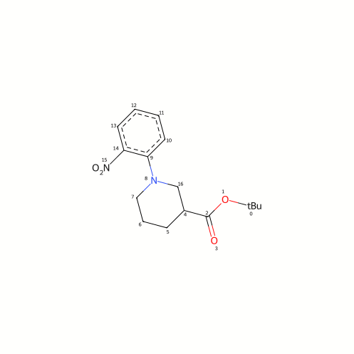 CC(C)(C)OC(=O)C1CCCN(c2ccccc2[N+](=O)[O-])C1